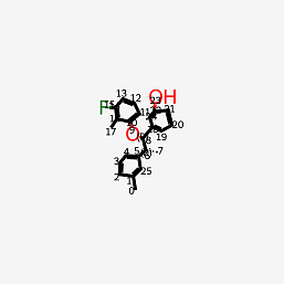 Cc1cccc([C@@H](C)[C@@H](Oc2cccc(F)c2C)c2cccc(O)c2)c1